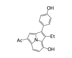 CCc1c(-c2ccc(O)cc2)c2cc(C(C)=O)c3ccc(O)c1n32